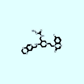 CC(C)(C)OC(=O)NCC1CN(CCn2c(=O)cnc3ccc(F)cc32)CCC1NCc1cc2c(cn1)OCCO2